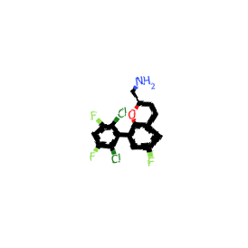 NC[C@H]1CCc2cc(F)cc(-c3c(Cl)c(F)cc(F)c3Cl)c2O1